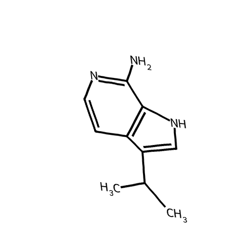 CC(C)c1c[nH]c2c(N)nccc12